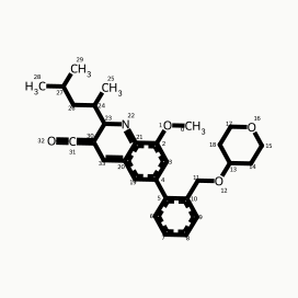 COc1cc(-c2ccccc2COC2CCOCC2)cc2c1=NC(C(C)CC(C)C)C(=C=O)C=2